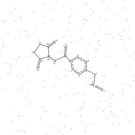 O=[14CH]Cc1ccc(C(=O)ON2C(=O)CCC2=O)cc1